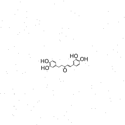 O=C(/C=C/c1ccc(O)c(O)c1)CCc1ccc(O)c(O)c1